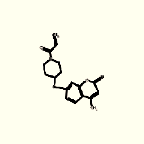 C=CC(=O)N1CCC(Oc2ccc3c(C)cc(=O)oc3c2)CC1